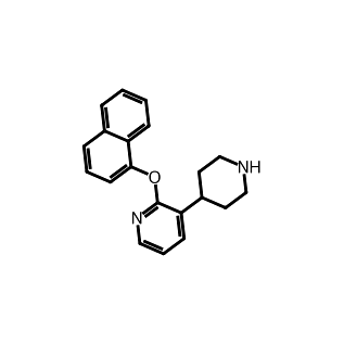 c1cnc(Oc2cccc3ccccc23)c(C2CCNCC2)c1